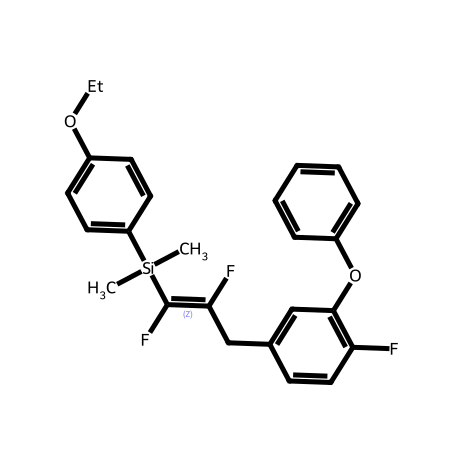 CCOc1ccc([Si](C)(C)/C(F)=C(\F)Cc2ccc(F)c(Oc3ccccc3)c2)cc1